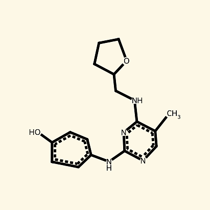 Cc1cnc(Nc2ccc(O)cc2)nc1NCC1CCCO1